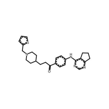 O=C(CCC1CCN(Cc2cccs2)CC1)c1ccc(Nc2ncnc3c2CCC3)cc1